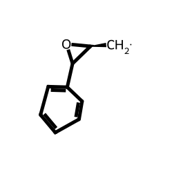 [CH2][C@@H]1OC1c1ccccc1